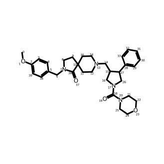 COc1ccc(CN2CCC3(CCN(CC4CN(C(=O)N5CCOCC5)CC4c4ccccc4)CC3)C2=O)cc1